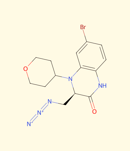 [N-]=[N+]=NC[C@@H]1C(=O)Nc2ccc(Br)cc2N1C1CCOCC1